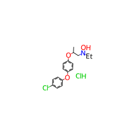 CCN(O)CC(C)Oc1ccc(Oc2ccc(Cl)cc2)cc1.Cl